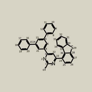 Ic1nc(-c2cc(-c3ccccc3)cc(-c3ccccc3)c2)cc(-c2cccc3sc4ccccc4c23)n1